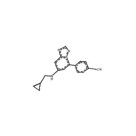 N#Cc1ccc(-c2cc(NCC3CC3)cc3ncnn23)cc1